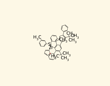 Cc1cccc([Si](c2cccc(C)c2)=[Zr]([C]2=CC=CC2)[c]2c3c(cc(C(C)(C)C)c2-c2ccccc2)-c2cc(C(C)(C)C)c(-c4ccccc4)cc2C3)c1